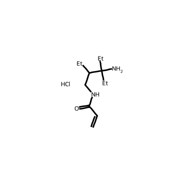 C=CC(=O)NCC(CC)C(N)(CC)CC.Cl